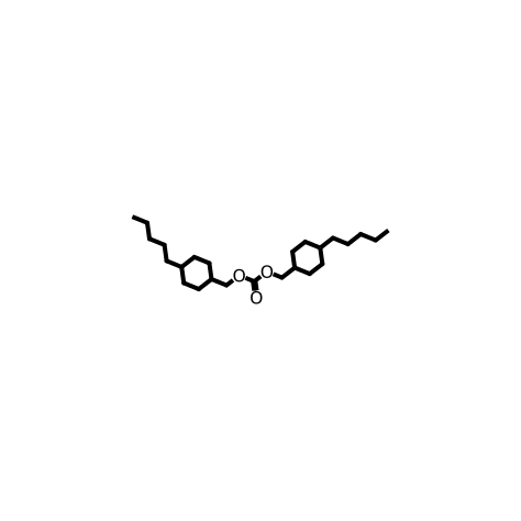 CCCCCC1CCC(COC(=O)OCC2CCC(CCCCC)CC2)CC1